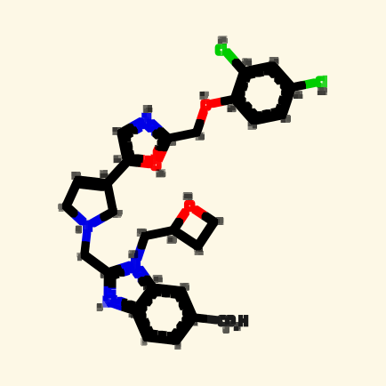 O=C(O)c1ccc2nc(CN3CC=C(c4cnc(COc5ccc(Cl)cc5Cl)o4)C3)n(CC3CCO3)c2c1